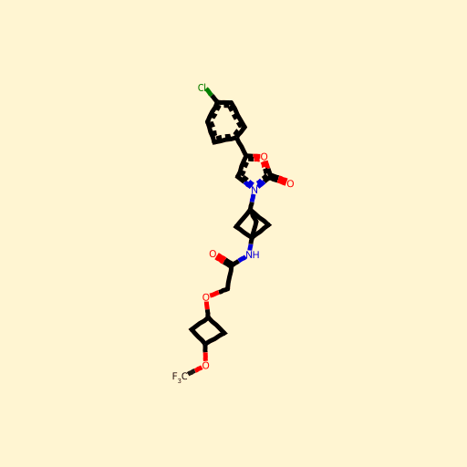 O=C(COC1CC(OC(F)(F)F)C1)NC12CC(n3cc(-c4ccc(Cl)cc4)oc3=O)(C1)C2